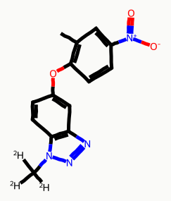 [2H]C([2H])([2H])n1nnc2cc(Oc3ccc([N+](=O)[O-])cc3C)ccc21